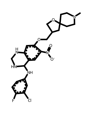 CN1CCC2(CC1)CC(COc1cc3c(cc1[N+](=O)[O-])C(Nc1ccc(F)c(Cl)c1)NCN3)CO2